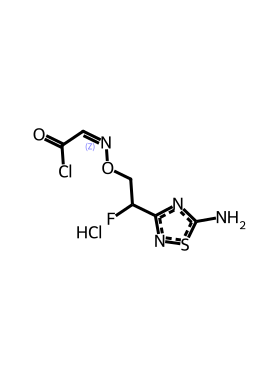 Cl.Nc1nc(C(F)CO/N=C\C(=O)Cl)ns1